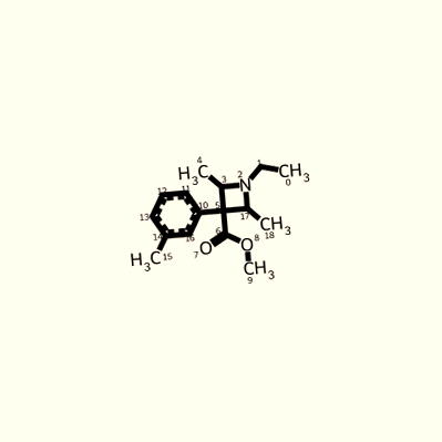 CCN1C(C)C(C(=O)OC)(c2cccc(C)c2)C1C